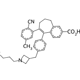 Cc1ccc(C#N)c(C2=C(c3ccc(CC4CN(CCCF)C4)cc3)c3ccc(C(=O)O)cc3CCC2)c1